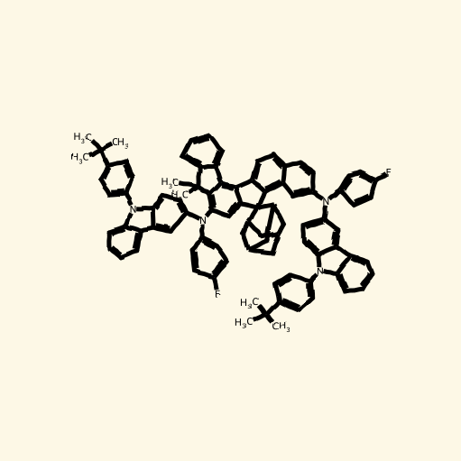 CC(C)(C)c1ccc(-n2c3ccccc3c3cc(N(c4ccc(F)cc4)c4ccc5ccc6c(c5c4)C4(c5cc(N(c7ccc(F)cc7)c7ccc8c(c7)c7ccccc7n8-c7ccc(C(C)(C)C)cc7)c7c(c5-6)-c5ccccc5C7(C)C)C5CC6CC(C5)CC4C6)ccc32)cc1